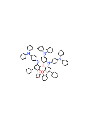 c1ccc(-c2cc3c(c4oc5ccccc5c24)B2c4c(cc(-n5c6ccccc6c6ccccc65)cc4N(c4ccc(N(c5ccccc5)c5ccccc5)cc4)c4cc(-c5ccccc5)c5c(oc6ccccc65)c42)N3c2ccc(N(c3ccccc3)c3ccccc3)cc2)cc1